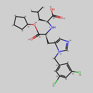 CC(C)C[C@H](N[C@@H](Cc1cncn1Cc1cc(Cl)cc(Cl)c1)C(=O)OC1CCCC1)C(=O)O